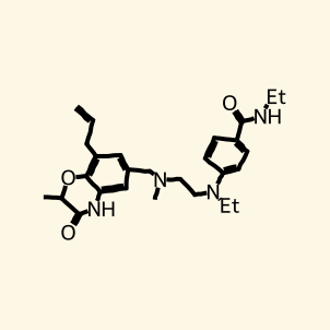 C=CCc1cc(CN(C)CCN(CC)c2ccc(C(=O)NCC)cc2)cc2c1OC(C)C(=O)N2